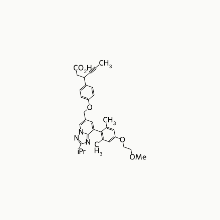 CC#CC(CC(=O)O)c1ccc(OCc2cc(-c3c(C)cc(OCCOC)cc3C)c3nc(C(C)C)nn3c2)cc1